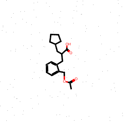 CC(=O)OCc1ccccc1CC(CC1CCCC1)C(=O)O